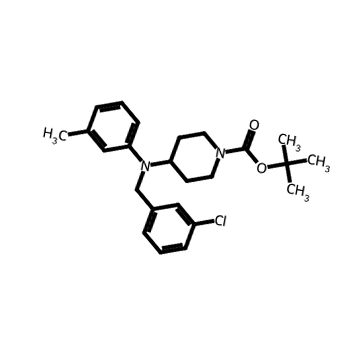 Cc1cccc(N(Cc2cccc(Cl)c2)C2CCN(C(=O)OC(C)(C)C)CC2)c1